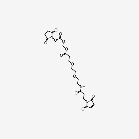 O=C(CCN1C(=O)C=CC1=O)NCCOCCOCCC(=O)OCOC(=O)ON1C(=O)CCC1=O